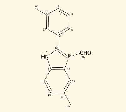 Cc1cccc(-c2[nH]c3ccc(C)cc3c2C=O)c1